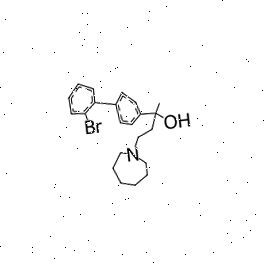 CC(O)(CCN1CCCCCC1)c1ccc(-c2ccccc2Br)cc1